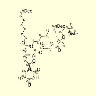 CCCCCCCCCCCCCCCCOC(OCCCCCCCCCCCCCCCC)O[C@@H]1C[C@H](n2cc(C)c(=O)[nH]c2=O)OC1COC(=O)CCC(=O)C(C)(C)OCCC(C)(C)OC